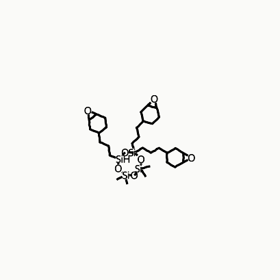 C[Si]1(C)O[SiH](CCCC2CCC3OC3C2)O[Si](CCCC2CCC3OC3C2)(CCCC2CCC3OC3C2)O[Si](C)(C)O1